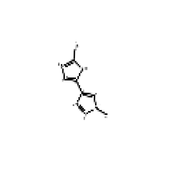 CC(C)c1ncc(-c2cn(C)nn2)s1